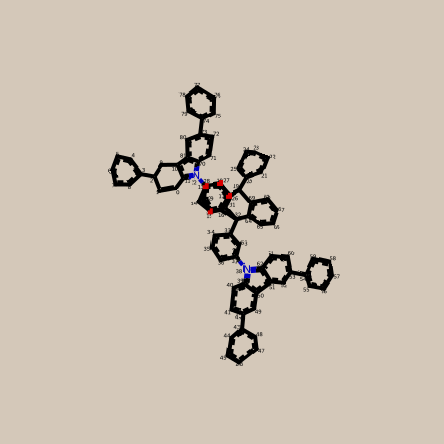 C1=CC(c2ccccc2)Cc2c1n(-c1ccc3c(c1)C1(c4ccccc4)c4ccccc4C3(c3cccc(-n4c5ccc(-c6ccccc6)cc5c5cc(-c6ccccc6)ccc54)c3)c3ccccc31)c1ccc(-c3ccccc3)cc21